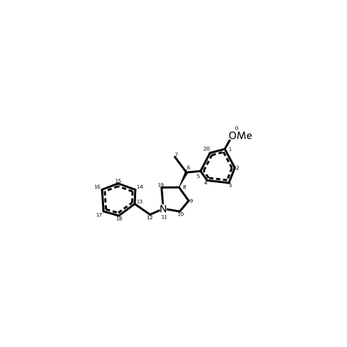 COc1cccc([C](C)[C@H]2CCN(Cc3ccccc3)C2)c1